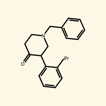 CC(C)c1ccccc1C1CN(Cc2ccccc2)CCC1=O